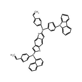 C=Cc1ccc(N(c2ccc(-n3c4ccccc4c4ccccc43)cc2)c2cc3cc4sc(N(c5ccc(C=C)cc5)c5cccc6ccccc56)cc4cc3s2)cc1